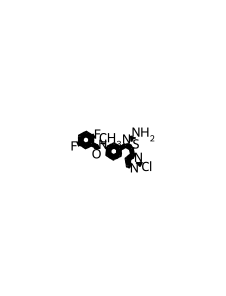 CN(C(=O)c1cc(F)ccc1F)c1cccc(-c2nc(N)sc2-c2ccnc(Cl)n2)c1